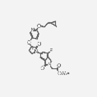 COC(=O)CN1Cc2c(F)cc(N3CC[C@@H](Oc4ccc(OCCC5CC5)nc4)C3=O)cc2C1=O